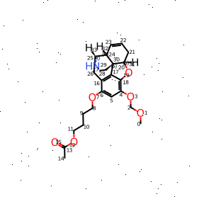 COCOc1cc(OCCCCOC(C)=O)c2c3c1O[C@H]1CC=C[C@H]4[C@@H](C2)NCC[C@]314